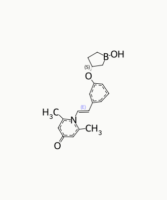 Cc1cc(=O)cc(C)n1/C=C/c1cccc(O[C@@H]2CCB(O)C2)c1